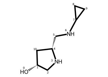 O[C@H]1CN[C@@H](CNC2CC2)C1